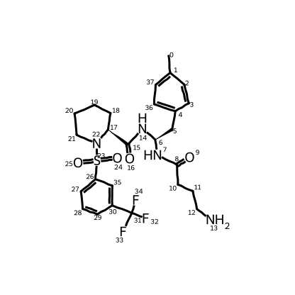 Cc1ccc(C[C@@H](NC(=O)CCCN)NC(=O)[C@@H]2CCCCN2S(=O)(=O)c2cccc(C(F)(F)F)c2)cc1